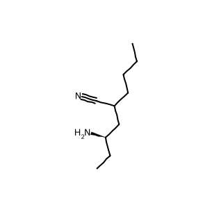 CCCCC(C#N)C[C@H](N)CC